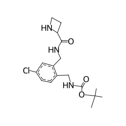 CC(C)(C)OC(=O)NCc1ccc(Cl)cc1CNC(=O)C1CCN1